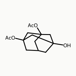 CC(=O)OC12CC3CC(O)(C1)CC(OC(C)=O)(C3)C2